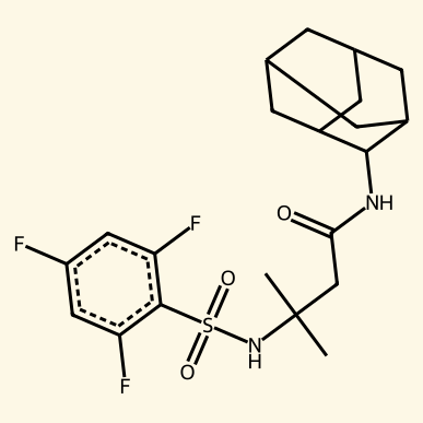 CC(C)(CC(=O)NC1C2CC3CC(C2)CC1C3)NS(=O)(=O)c1c(F)cc(F)cc1F